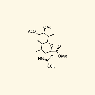 COC(=O)[C@@]1(OC(=N)C(Cl)(Cl)Cl)CC(C)[C@@H](C)[C@H]([C@H](C)[C@@H](COC(C)=O)OC(C)=O)O1